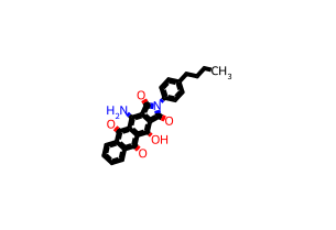 CCCCc1ccc(-n2c(=O)c3c(N)c4c(=O)c5ccccc5c(=O)c4c(O)c3c2=O)cc1